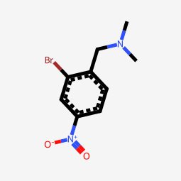 CN(C)Cc1ccc([N+](=O)[O-])cc1Br